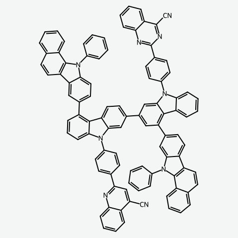 N#Cc1cc(-c2ccc(-n3c4cc(-c5cc(-c6ccc7c8ccc9ccccc9c8n(-c8ccccc8)c7c6)c6c7ccccc7n(-c7ccc(-c8nc(C#N)c9ccccc9n8)cc7)c6c5)ccc4c4c(-c5ccc6c(c5)c5ccc7ccccc7c5n6-c5ccccc5)cccc43)cc2)nc2ccccc12